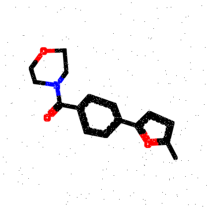 Cc1ccc(-c2ccc(C(=O)N3CCOCC3)cc2)o1